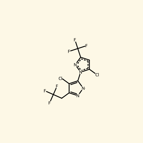 FC(F)(F)CC1=N[N]C(n2nc(C(F)(F)F)cc2Cl)=C1Cl